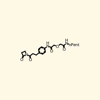 CCCCCNC(=O)COCC(=O)Nc1ccc(CCC(=O)N2CCC2=O)cc1